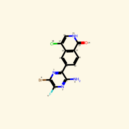 Nc1nc(F)c(Br)nc1-c1ccc2c(=O)[nH]cc(Cl)c2c1